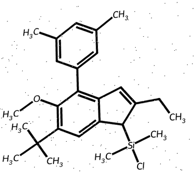 CCC1=Cc2c(cc(C(C)(C)C)c(OC)c2-c2cc(C)cc(C)c2)C1[Si](C)(C)Cl